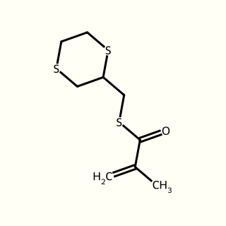 C=C(C)C(=O)SCC1CSCCS1